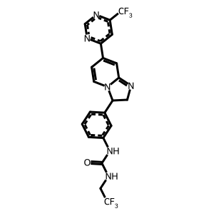 O=C(NCC(F)(F)F)Nc1cccc(C2CN=C3C=C(c4cc(C(F)(F)F)ncn4)C=CN32)c1